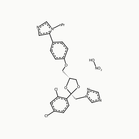 CCCn1cncc1-c1ccc(OC[C@@H]2CO[C@@](Cn3cncn3)(c3ccc(Cl)cc3Cl)O2)cc1.O=[N+]([O-])O